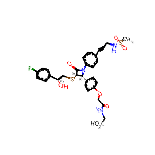 CS(=O)(=O)NCC#Cc1ccc(N2C(=O)[C@H](SC[C@H](O)c3ccc(F)cc3)[C@H]2c2ccc(OCC(=O)NCC(=O)O)cc2)cc1